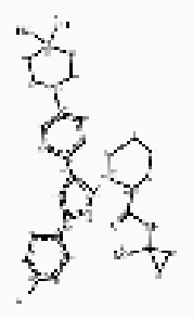 N#CC1(NC(=O)[C@@H]2CCCC[C@H]2c2nn(-c3ccc(F)cc3)cc2-c2ccc(N3CCS(O)(O)CC3)cc2)CC1